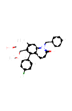 Cc1cc2c(ccc(=O)n2Cc2ccccc2)c(-c2ccc(Cl)cc2)c1[C@@H](CO)OC(C)(C)C